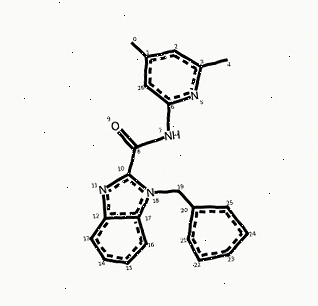 Cc1cc(C)nc(NC(=O)c2nc3ccccc3n2Cc2ccccc2)c1